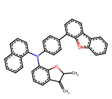 C=C1c2cccc(N(c3ccc(-c4cccc5c4oc4ccccc45)cc3)c3cccc4ccccc34)c2OC1C